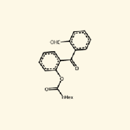 CCCCCCC(=O)Oc1ccccc1C(=O)c1ccccc1[C]=O